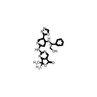 CC1(C)OC(=O)c2cnc(Nc3cc(N[C@H](CO)c4ccccc4)c(-c4nnco4)cn3)nc21